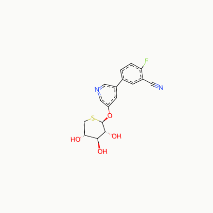 N#Cc1cc(-c2cncc(O[C@@H]3SC[C@@H](O)[C@H](O)[C@H]3O)c2)ccc1F